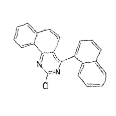 Clc1nc(-c2cccc3ccccc23)c2ccc3ccccc3c2n1